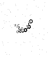 O=C1CN(Cc2ccc(-c3cccc(CN4CCCCC4)n3)cc2)C(=O)N1CCC(F)(F)F